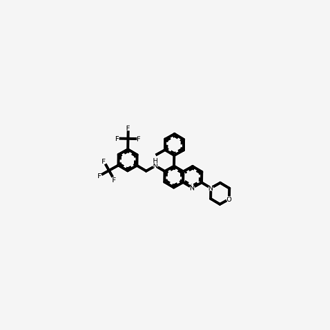 Cc1ccccc1-c1c(NCc2cc(C(F)(F)F)cc(C(F)(F)F)c2)ccc2nc(N3CCOCC3)ccc12